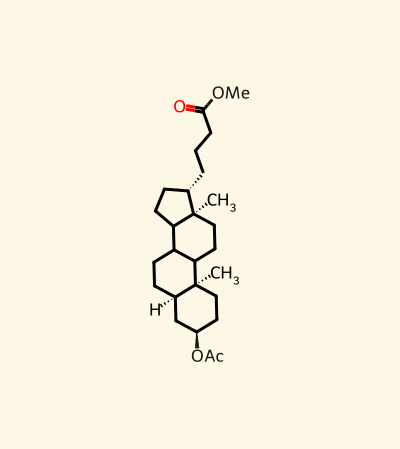 COC(=O)CCC[C@H]1CCC2C3CC[C@@H]4C[C@H](OC(C)=O)CC[C@]4(C)C3CC[C@@]21C